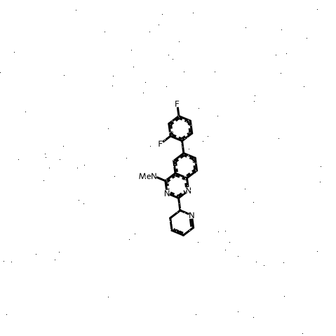 CNc1nc(C2CC=CC=N2)nc2ccc(-c3ccc(F)cc3F)cc12